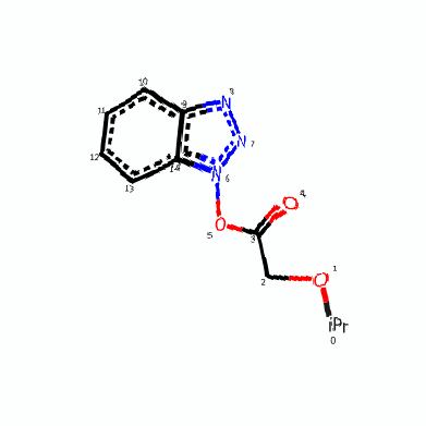 CC(C)OCC(=O)On1nnc2ccccc21